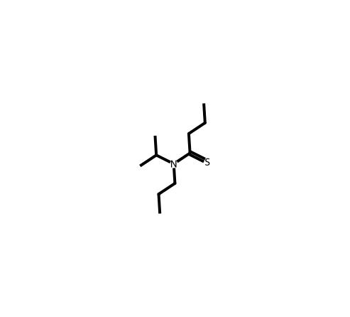 CCCC(=S)N(CCC)C(C)C